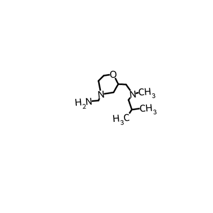 CC(C)CN(C)CC1CN(CN)CCO1